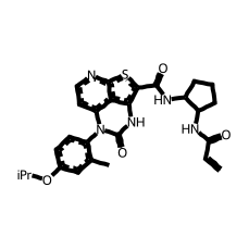 C=CC(=O)NC1CCCC1NC(=O)c1sc2nccc3c2c1NC(=O)N3c1ccc(OC(C)C)cc1C